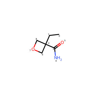 CCC1(C(N)=O)COC1